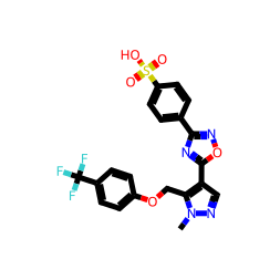 Cn1ncc(-c2nc(-c3ccc(S(=O)(=O)O)cc3)no2)c1COc1ccc(C(F)(F)F)cc1